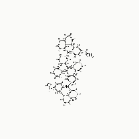 C=Cc1ccc(N(C2=c3ccccc3=CCC2)c2ccc3c4ccccc4c4c5cc(N(c6ccc(C=C)cc6)c6cccc7ccccc67)ccc5c5ccccc5c4c3c2)cc1